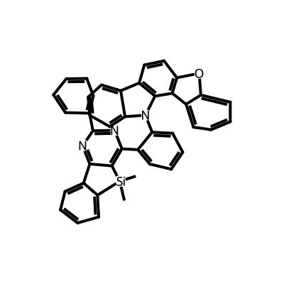 C[Si]1(C)c2ccccc2-c2nc(-c3ccccc3)nc(-c3ccccc3-n3c4ccccc4c4ccc5oc6ccccc6c5c43)c21